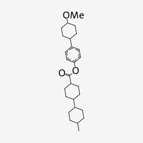 COC1CCC(c2ccc(OC(=O)C3CCC(C4CCC(C)CC4)CC3)cc2)CC1